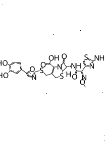 CO/N=C(\C(=O)N[C@@H]1C(=O)N2C(C(=O)O)=C(CSc3ncc(-c4ccc(O)c(O)c4)o3)CS[C@H]12)c1csc(N)n1